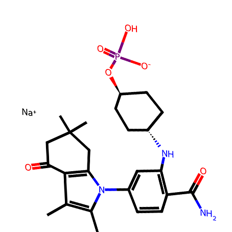 Cc1c2c(n(-c3ccc(C(N)=O)c(N[C@H]4CC[C@H](OP(=O)([O-])O)CC4)c3)c1C)CC(C)(C)CC2=O.[Na+]